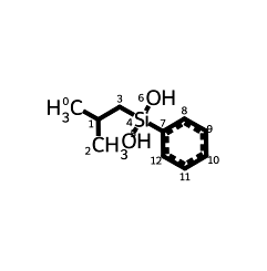 CC(C)C[Si](O)(O)c1ccccc1